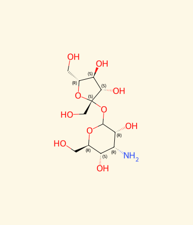 N[C@@H]1[C@H](O)[C@@H](CO)OC(O[C@]2(CO)O[C@H](CO)[C@@H](O)[C@@H]2O)[C@@H]1O